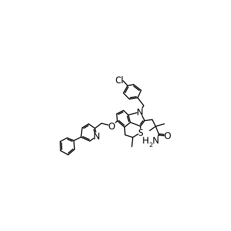 CC1Cc2c(OCc3ccc(-c4ccccc4)cn3)ccc3c2c(c(CC(C)(C)C(N)=O)n3Cc2ccc(Cl)cc2)S1